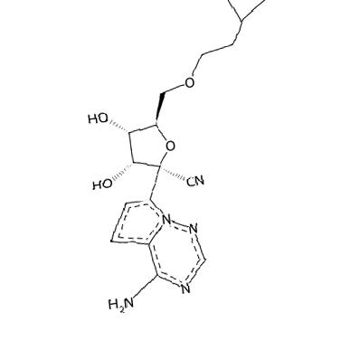 N#C[C@@]1(c2ccc3c(N)ncnn23)O[C@H](COCCC2CCC2)[C@@H](O)[C@H]1O